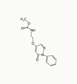 COC(=O)NCCOc1cnn(-c2ccccc2)c(=O)c1